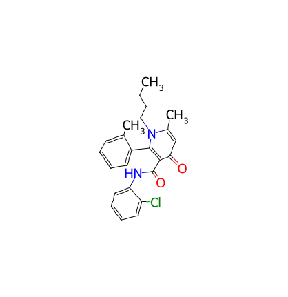 CCCCn1c(C)cc(=O)c(C(=O)Nc2ccccc2Cl)c1-c1ccccc1C